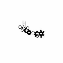 Cc1c(C)c(C)c2c(c1C)CCC(C)(COc1ccc(C=C3SC(=O)NC3=O)cc1)O2